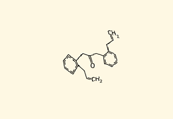 C=CCc1ccccc1CC(=O)Cc1ccccc1CC=C